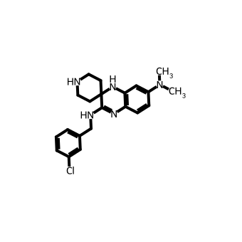 CN(C)c1ccc2c(c1)NC1(CCNCC1)C(NCc1cccc(Cl)c1)=N2